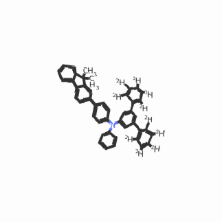 [2H]c1c([2H])c([2H])c(-c2cc(-c3c([2H])c([2H])c([2H])c([2H])c3[2H])cc(N(c3ccccc3)c3ccc(-c4ccc5c(c4)C(C)(C)c4ccccc4-5)cc3)c2)c([2H])c1[2H]